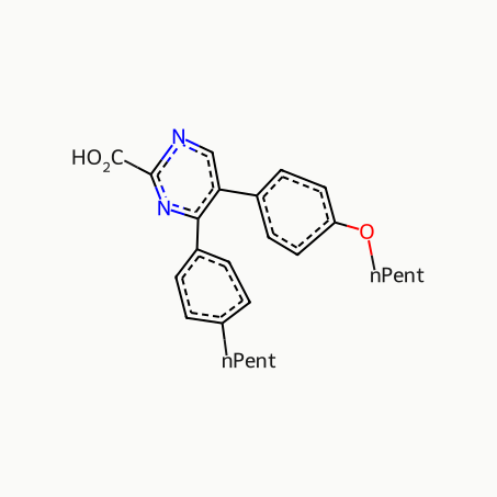 CCCCCOc1ccc(-c2cnc(C(=O)O)nc2-c2ccc(CCCCC)cc2)cc1